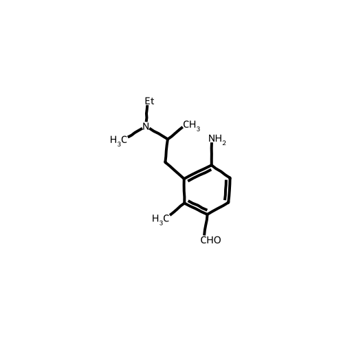 CCN(C)C(C)Cc1c(N)ccc(C=O)c1C